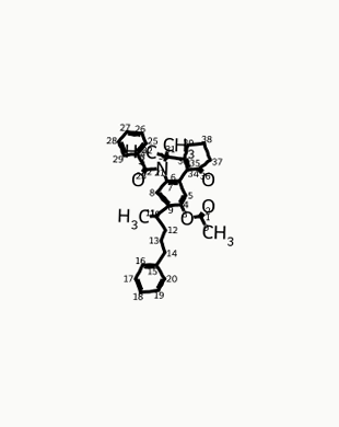 CC(=O)Oc1cc2c(cc1C(C)CCCc1ccccc1)N(C(=O)c1ccccc1)C(C)(C)C1=C2C(=O)CCC1